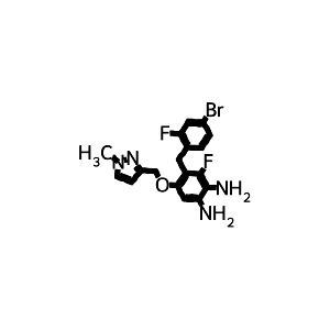 Cn1ccc(COc2cc(N)c(N)c(F)c2Cc2ccc(Br)cc2F)n1